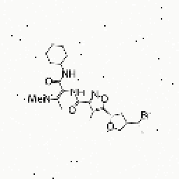 CN/C(C)=C(/NC(=O)c1noc([C@H]2CC([C@@H](C)Br)CO2)c1C)C(=O)NC1CCCCC1